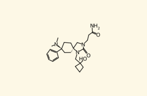 CN(C)[C@]1(c2ccccc2)CC[C@]2(CC1)CN(CCC(N)=O)C(=O)N2CC1(O)CCC1